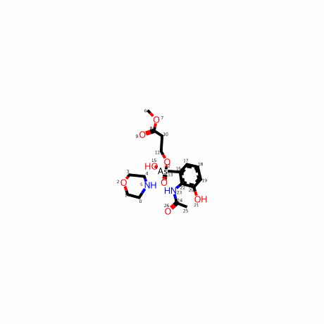 C1COCCN1.COC(=O)CCO[As](=O)(O)c1cccc(O)c1NC(C)=O